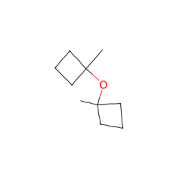 CC1(OC2(C)CCC2)CCC1